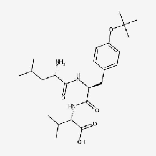 CC(C)C[C@H](N)C(=O)N[C@@H](Cc1ccc(OC(C)(C)C)cc1)C(=O)N[C@H](C(=O)O)C(C)C